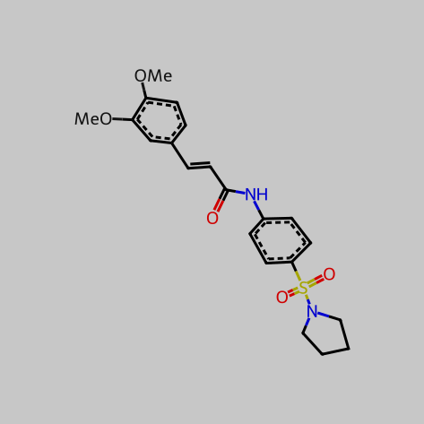 COc1ccc(/C=C/C(=O)Nc2ccc(S(=O)(=O)N3CCCC3)cc2)cc1OC